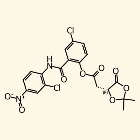 CC1(C)OC(=O)[C@@H](CC(=O)Oc2ccc(Cl)cc2C(=O)Nc2ccc([N+](=O)[O-])cc2Cl)O1